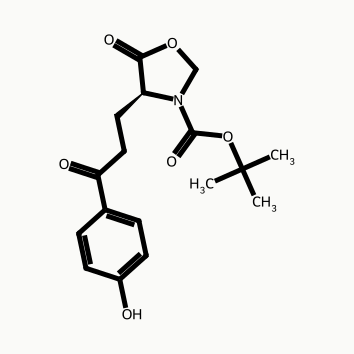 CC(C)(C)OC(=O)N1COC(=O)[C@@H]1CCC(=O)c1ccc(O)cc1